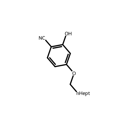 CCCCCCCCOc1ccc(C#N)c(O)c1